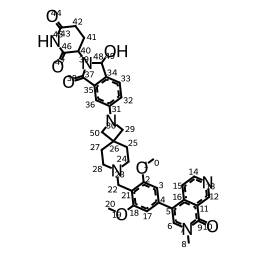 COc1cc(-c2cn(C)c(=O)c3cnccc23)cc(OC)c1CN1CCC2(CC1)CN(c1ccc3c(c1)C(=O)N(C1CCC(=O)NC1=O)C3O)C2